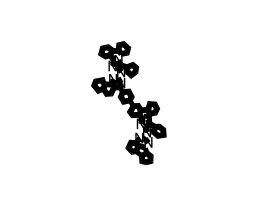 c1ccc2c(c1)-c1cccc3nc(-n4c5ccccc5c5c4nc4c6ccc(-c7ccc(-c8nc(-n9c%10ccccc%10c%10c9nc9c%11ccccc%11c%11ccccc%11n9%10)nc9c8ccc8ccccc89)cc7)cc6c6ccccc6n45)nc-2c13